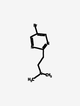 CN(C)CCc1ncc(Br)cn1